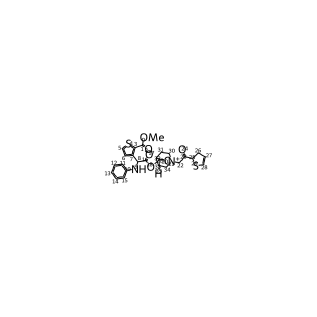 COC(=O)c1sccc1C(Nc1ccccc1)C(=O)O[C@H]1C[N+]2(CC(=O)C3CC=CS3)CCC1CC2